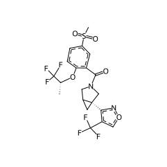 C[C@@H](Oc1ccc(S(C)(=O)=O)cc1C(=O)N1CC2C[C@]2(c2nocc2C(F)(F)F)C1)C(F)(F)F